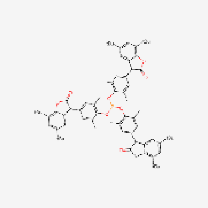 Cc1cc(C2C(=O)Cc3c2cc(C(C)(C)C)cc3C(C)(C)C)cc(C)c1OP(Oc1c(C)cc(C2C(=O)Oc3c2cc(C(C)(C)C)cc3C(C)(C)C)cc1C)Oc1c(C)cc(C2C(=O)Oc3c2cc(C(C)(C)C)cc3C(C)(C)C)cc1C